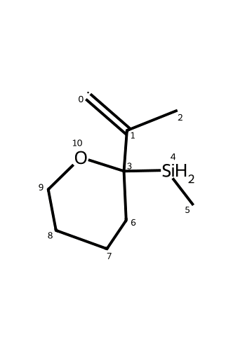 [CH]=C(C)C1([SiH2]C)CCCCO1